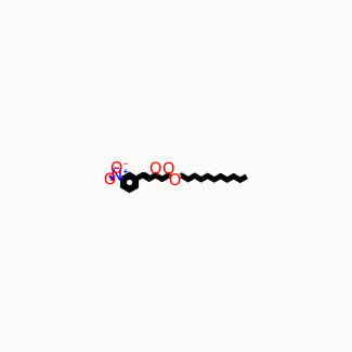 CCCCCCCCCCCOC(=O)CC(=O)C=Cc1cccc([N+](=O)[O-])c1